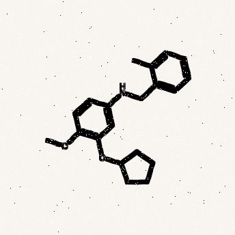 COc1ccc(NCc2ccccc2C)cc1OC1CCCC1